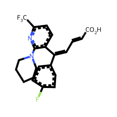 O=C(O)/C=C/C=C(/c1ccc(F)cc1)c1ccc(C(F)(F)F)nc1N1CCCCC1